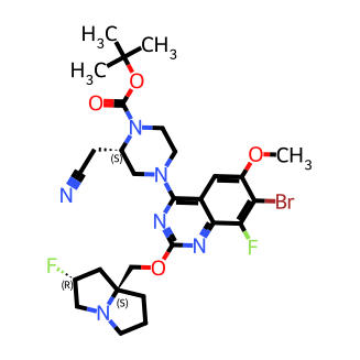 COc1cc2c(N3CCN(C(=O)OC(C)(C)C)[C@@H](CC#N)C3)nc(OC[C@@]34CCCN3C[C@H](F)C4)nc2c(F)c1Br